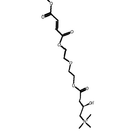 COC(=O)/C=C/C(=O)OCCOCCOC(=O)C[C@@H](O)C[N+](C)(C)C